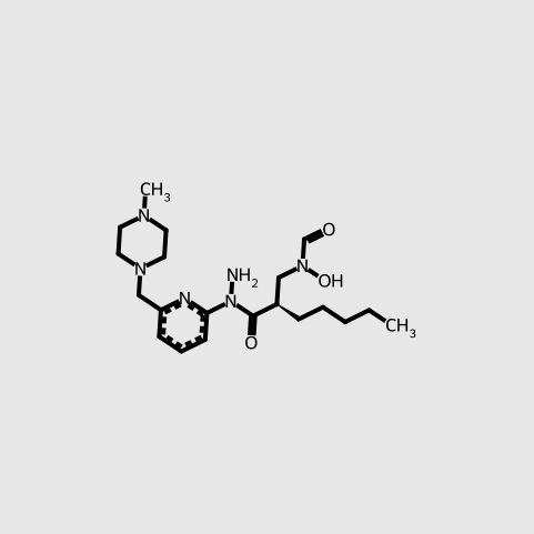 CCCCC[C@H](CN(O)C=O)C(=O)N(N)c1cccc(CN2CCN(C)CC2)n1